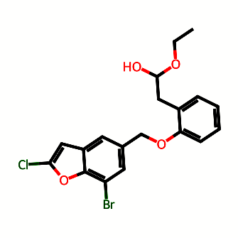 CCOC(O)Cc1ccccc1OCc1cc(Br)c2oc(Cl)cc2c1